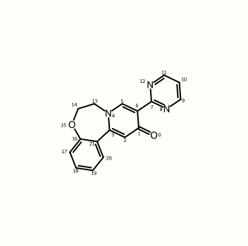 O=c1cc2n(cc1-c1ncccn1)CCOc1ccccc1-2